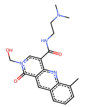 Cc1cccc2cc3c(=O)n(CO)cc(C(=O)NCCN(C)C)c3nc12